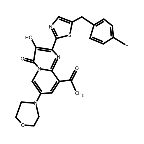 CC(=O)c1cc(N2CCOCC2)cn2c(=O)c(O)c(-c3ncc(Cc4ccc(F)cc4)s3)nc12